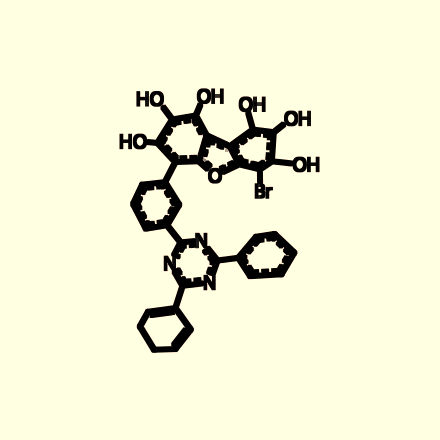 Oc1c(O)c(O)c2c(oc3c(-c4cccc(-c5nc(C6=CCCC=C6)nc(-c6ccccc6)n5)c4)c(O)c(O)c(O)c32)c1Br